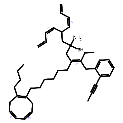 BC(N)(C/C(CCCCCC/C1=C(\CCCC)C/C=C\C=C/C1)=C(\CC)Cc1ccccc1C#CC)CC(/C=C\C=C)/C=C\C=C